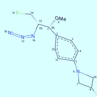 CO[C@H](c1ccc(N2CC(F)C2)cc1)[C@@H](CF)N=[N+]=[N-]